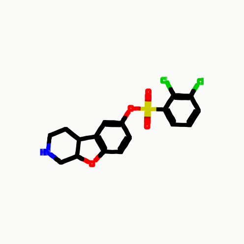 O=S(=O)(Oc1ccc2c(c1)C1CCNCC1O2)c1cccc(Cl)c1Cl